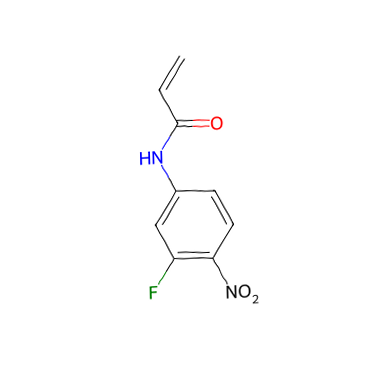 C=CC(=O)Nc1ccc([N+](=O)[O-])c(F)c1